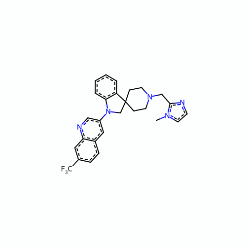 Cn1ccnc1CN1CCC2(CC1)CN(c1cnc3cc(C(F)(F)F)ccc3c1)c1ccccc12